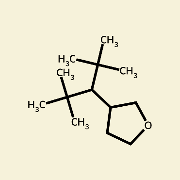 CC(C)(C)C(C1CCOC1)C(C)(C)C